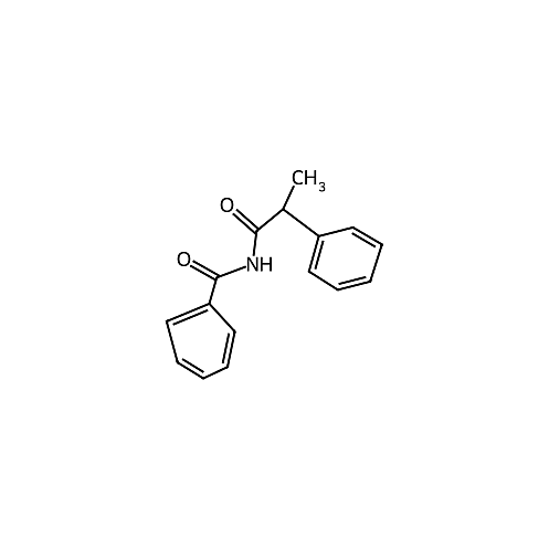 CC(C(=O)NC(=O)c1ccccc1)c1ccccc1